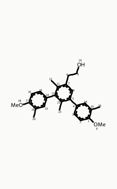 COc1ccc(-c2[c]c(CCO)c(C)c(-c3ccc(OC)c(C)c3)c2C)cc1C